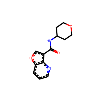 O=C(NC1CCOCC1)c1coc2cccnc12